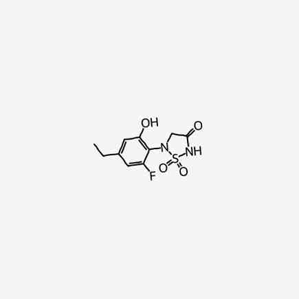 CCc1cc(O)c(N2CC(=O)NS2(=O)=O)c(F)c1